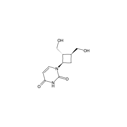 O=c1ccn([C@@H]2C[C@H](CO)[C@H]2CO)c(=O)[nH]1